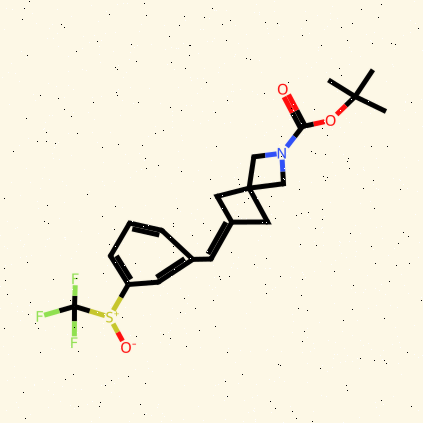 CC(C)(C)OC(=O)N1CC2(CC(=Cc3cccc([S+]([O-])C(F)(F)F)c3)C2)C1